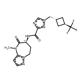 CN1C(=O)[C@@H](NC(=O)c2ncn(C[C@H]3C[C@H](C(F)(F)F)C3)n2)CCn2nccc21